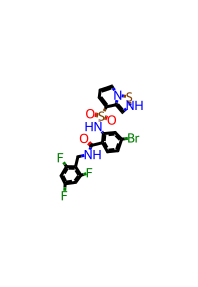 O=C(NCc1c(F)cc(F)cc1F)c1ccc(Br)cc1NS(=O)(=O)C1=CC=CN2SNC=C12